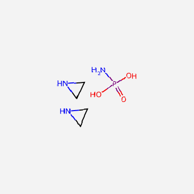 C1CN1.C1CN1.NP(=O)(O)O